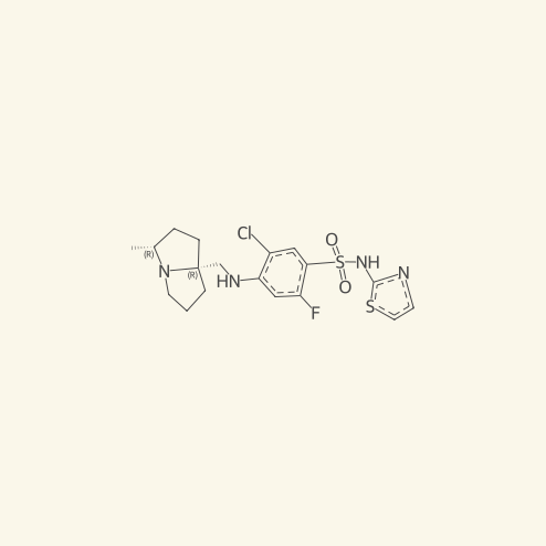 C[C@@H]1CC[C@@]2(CNc3cc(F)c(S(=O)(=O)Nc4nccs4)cc3Cl)CCCN12